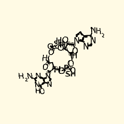 Nc1nc2c(ncn2[C@@H]2O[C@@H]3CO[P@](=O)(S)O[C@H]4[C@@H](O)[C@H](n5ccc6c(N)ncnc65)O[C@@H]4CO[P@](=O)(S)O[C@@H]2C3)c(=O)[nH]1